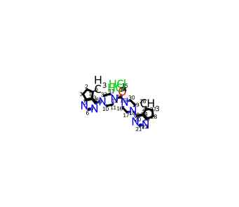 C[C@@H]1CCc2ncnc(N3CCN(C(=O)N4CCN(c5ncnc6c5[C@H](C)CC6)CC4)CC3)c21.Cl.Cl